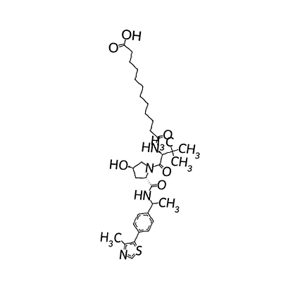 Cc1ncsc1-c1ccc(C(C)NC(=O)[C@@H]2C[C@@H](O)CN2C(=O)[C@@H](NC(=O)CCCCCCCCCCC(=O)O)C(C)(C)C)cc1